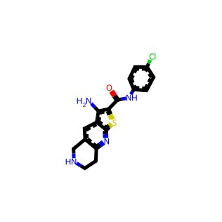 Nc1c(C(=O)Nc2ccc(Cl)cc2)sc2nc3c(cc12)CNCC3